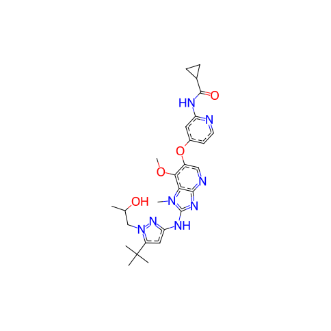 COc1c(Oc2ccnc(NC(=O)C3CC3)c2)cnc2nc(Nc3cc(C(C)(C)C)n(CC(C)O)n3)n(C)c12